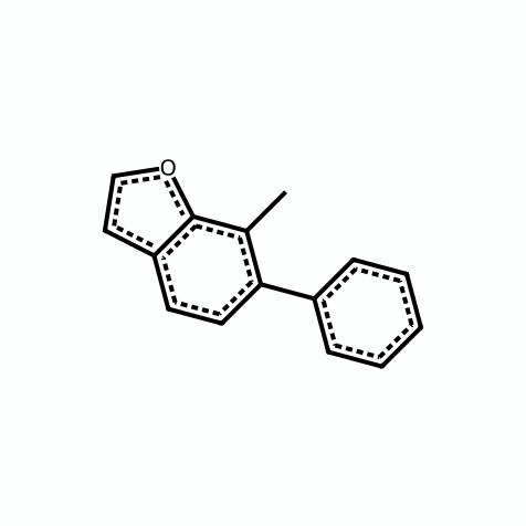 Cc1c(-c2ccccc2)ccc2ccoc12